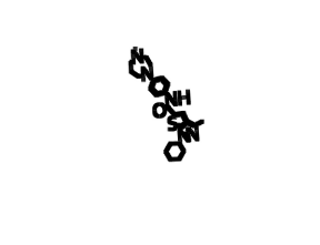 Cc1nn(C2CCCCC2)c2sc(C(=O)Nc3ccc(N4CCCN(C)CC4)cc3)cc12